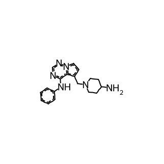 NC1CCN(Cc2ccn3ncnc(Nc4ccccc4)c23)CC1